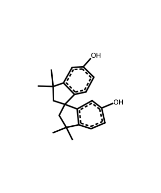 CC1(C)CC2(CC(C)(C)c3ccc(O)cc32)c2ccc(O)cc21